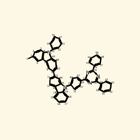 Cc1ccc2c(c1)c1cc(-c3ccc4c5ccccc5n(-c5ccc(-c6nc(-c7ccccc7)nc(-c7ccccc7)n6)cc5)c4c3)ccc1n2-c1ccccc1